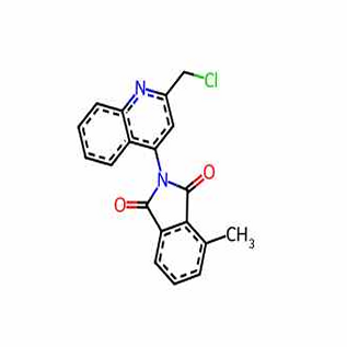 Cc1cccc2c1C(=O)N(c1cc(CCl)nc3ccccc13)C2=O